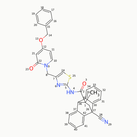 CC1(C(=O)Nc2nc(Cn3ccc(OCc4ccccc4)cc3=O)cs2)CC2(C#N)c3ccccc3C1c1ccccc12